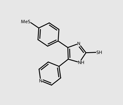 CSc1ccc(-c2nc(S)[nH]c2-c2ccncc2)cc1